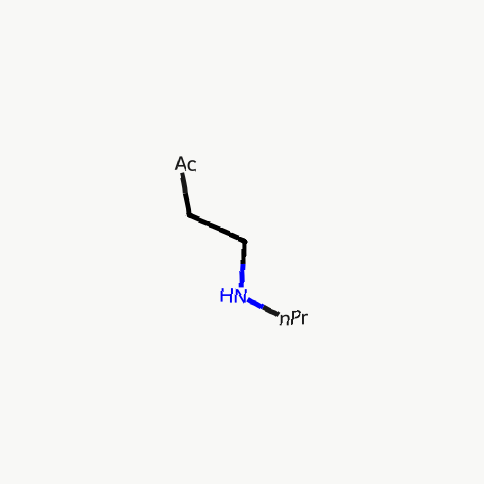 [CH2]CCNCCC(C)=O